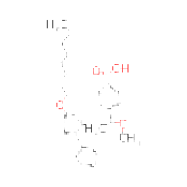 CCCCCCCCOc1ccc(-c2ccccc2)cc1.COC(C)c1ccc(C(=O)O)cc1